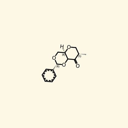 C[C@H]1CO[C@@H]2CO[C@@H](c3ccccc3)OC2C1=O